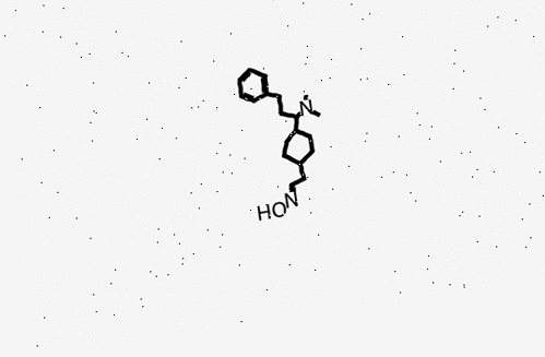 CN(C)C(CCc1ccccc1)C1CCC(CC=NO)CC1